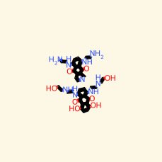 NCCNc1ccc(NCCN)c2c1C(=O)c1ccncc1C2=O.O=C1c2c(O)ccc(O)c2C(=O)c2c(NCCNCCO)ccc(NCCNCCO)c21